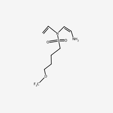 C=CN(/C=C\N)S(=O)(=O)CCCCOC(F)(F)F